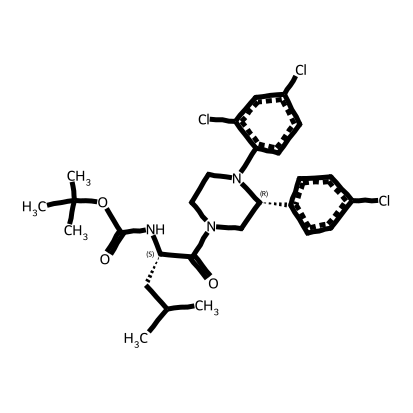 CC(C)C[C@H](NC(=O)OC(C)(C)C)C(=O)N1CCN(c2ccc(Cl)cc2Cl)[C@H](c2ccc(Cl)cc2)C1